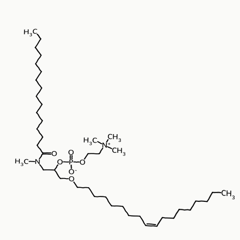 CCCCCCCC/C=C\CCCCCCCCOCC(CN(C)C(=O)CCCCCCCCCCCCCCC)OP(=O)([O-])OCC[N+](C)(C)C